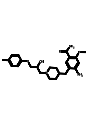 COc1cc(N)c(CC2CCN(CC(O)COc3ccc(C)cc3)CC2)cc1C(N)=O